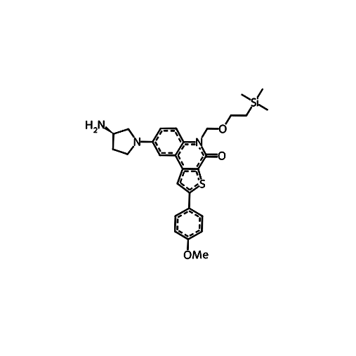 COc1ccc(-c2cc3c(s2)c(=O)n(COCC[Si](C)(C)C)c2ccc(N4CC[C@@H](N)C4)cc32)cc1